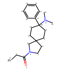 CC(C)CC(=O)N1CCC2(CCC(c3ccccc3)(N(C)C)CC2)C1